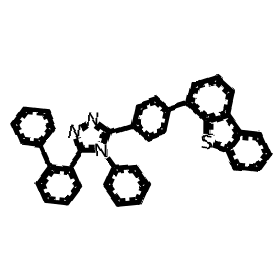 c1ccc(-c2ccccc2-c2nnc(-c3ccc(-c4cccc5c4sc4ccccc45)cc3)n2-c2ccccc2)cc1